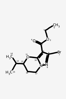 CCOC(=O)c1c(Br)nn2c1OC(C(C)C)CC2